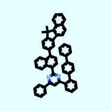 CC1(C)c2ccc(-c3ccc(-c4nc(-c5ccccc5)cc(-c5ccccc5-c5ccc(-c6ccccc6)cc5)n4)c4ccccc34)cc2-c2ccc3ccccc3c21